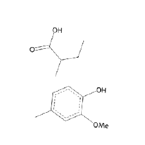 CCC(C)C(=O)O.COc1cc(C)ccc1O